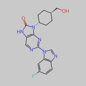 O=c1[nH]c2cnc(-n3cnc4ccc(F)cc43)nc2n1[C@H]1CC[C@H](CO)CC1